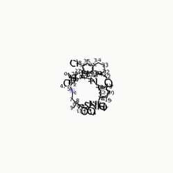 C#C[C@@]1(OC)/C=C/C[C@H](C)[C@@H](C)S(=O)(=O)NC(=O)c2ccc3c(c2)N(C[C@@H]2CC[C@H]21)C[C@@]1(CCCc2cc(Cl)ccc21)CO3